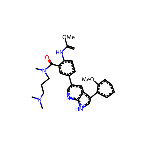 C=C(Nc1ccc(-c2cnc3[nH]cc(-c4ccccc4OC)c3c2)cc1C(=O)N(C)CCCN(C)C)OC